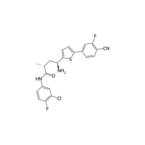 C[C@H](C[C@H](N)c1ccc(-c2ccc(C#N)c(F)c2)s1)C(=O)Nc1ccc(F)c(Cl)c1